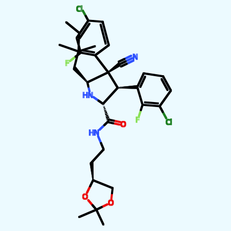 CCC(C)(C)C[C@@H]1N[C@@H](C(=O)NCC[C@H]2COC(C)(C)O2)[C@H](c2cccc(Cl)c2F)[C@@]1(C#N)c1ccc(Cl)cc1F